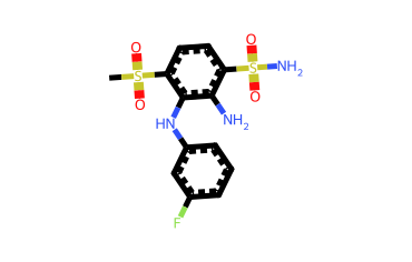 CS(=O)(=O)c1ccc(S(N)(=O)=O)c(N)c1Nc1cccc(F)c1